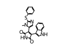 Cn1c(C2=C(c3c[nH]c4ccccc34)C(=O)NC2=O)cnc1Sc1ccccc1